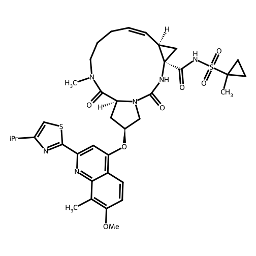 COc1ccc2c(O[C@H]3C[C@H]4C(=O)N(C)CCC/C=C\[C@H]5C[C@@]5(C(=O)NS(=O)(=O)C5(C)CC5)NC(=O)N4C3)cc(-c3nc(C(C)C)cs3)nc2c1C